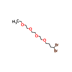 CCOCCOCCOCCOCCCC(Br)Br